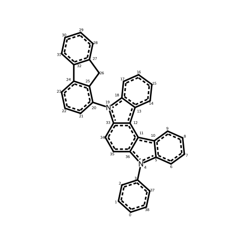 c1ccc(-n2c3ccccc3c3c4c5ccccc5n(-c5cccc6c5Cc5ccccc5-6)c4ccc32)cc1